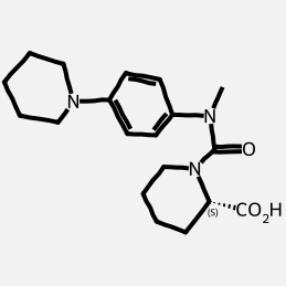 CN(C(=O)N1CCCC[C@H]1C(=O)O)c1ccc(N2CCCCC2)cc1